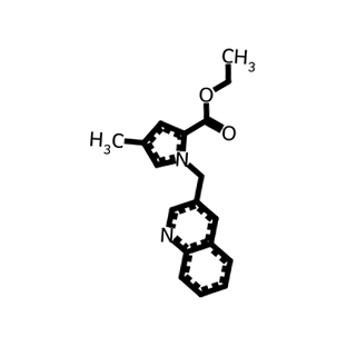 CCOC(=O)c1cc(C)cn1Cc1cnc2ccccc2c1